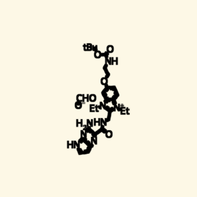 CCn1c(CNC(=O)c2nc3cc[nH]c3nc2N)[n+](CC)c2ccc(OCCNC(=O)OC(C)(C)C)cc21.O=C[O-]